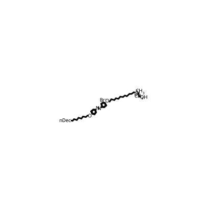 CCCCCCCCCCCCCCCCCCOc1ccc(N=Nc2ccc(OCCCCCCCCCCCC[N+](C)(C)CCO)cc2)cc1.[Br-]